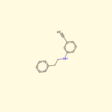 C#Cc1cccc(NCCc2ccccc2)c1